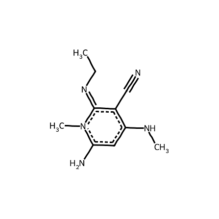 CC/N=c1\c(C#N)c(NC)cc(N)n1C